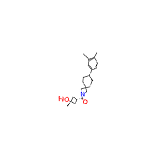 Cc1ccc(C2CCC3(CC2)CN(C(=O)[C@H]2C[C@@](C)(O)C2)C3)cc1C